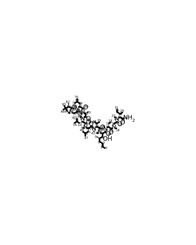 C/C=C/C[C@@H](C)[C@H](O)C(C(=O)N[C@H](CC)C(=O)N(C)CC(=O)N(C)[C@@H](C(N)=O)C(C)CC)N(C)C(=O)[C@H](C(C)C)N(C)C(=O)[C@@H](CC(C)C)N(C)C(=O)[C@H](CC(C)C)N(C)C(=O)[C@H](C)NC(=O)[C@H](CC(C)C)NC(=O)[C@H](C)N(C)C(=O)[C@H](C)C(C)(C)C